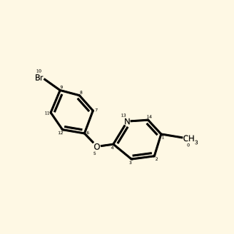 Cc1ccc(Oc2ccc(Br)cc2)nc1